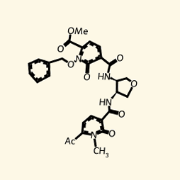 COC(=O)c1ccc(C(=O)N[C@H]2COC[C@H]2NC(=O)c2ccc(C(C)=O)n(C)c2=O)c(=O)n1OCc1ccccc1